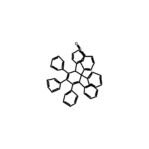 O=C=C1C=CC=C(C2(c3ccccc3)C(c3ccccc3)=C(c3ccccc3)C(c3ccccc3)=C(c3ccccc3)C2c2ccccc2)C1